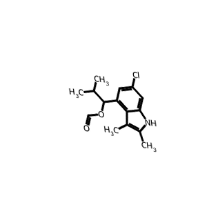 Cc1[nH]c2cc(Cl)cc(C(OC=O)C(C)C)c2c1C